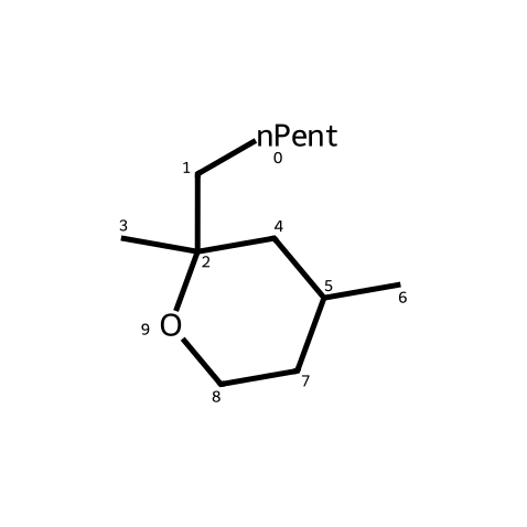 CCCCCCC1(C)CC(C)CCO1